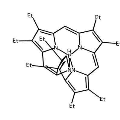 CCc1c(CC)c2n3c1C=c1c(CC)c(CC)c4n1[PH]31n3c(c(CC)c(CC)c3C=c3c(CC)c(CC)c(n31)=C2)C=4